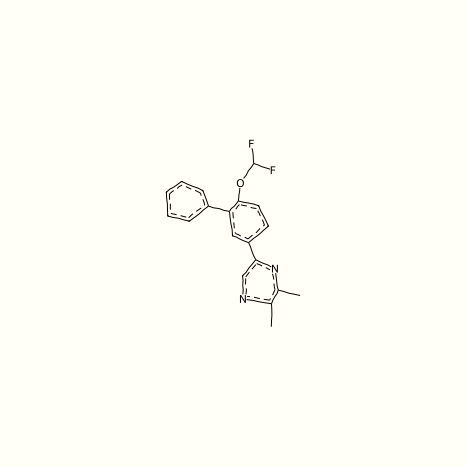 Cc1ncc(-c2ccc(OC(F)F)c(-c3ccccc3)c2)nc1C